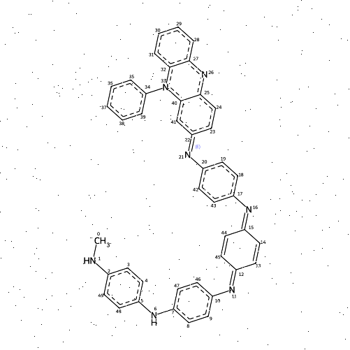 CNc1ccc(Nc2ccc(N=C3C=CC(=Nc4ccc(/N=c5\ccc6nc7ccccc7n(-c7ccccc7)c-6c5)cc4)C=C3)cc2)cc1